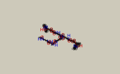 CCCC(=O)NCCCCCCNC(=O)OCCN(C)CCOC(=O)NCCCCCCn1c(=O)n(CCCCCCNC(=O)OCCOC(=O)CCc2cc(-n3nc4ccccc4n3)c(O)c(C(C)(C)C)c2)c(=O)n(CCCCCCNC(=O)OCCOC(=O)CCc2cc(-n3nc4ccccc4n3)c(O)c(C(C)(C)C)c2)c1=O